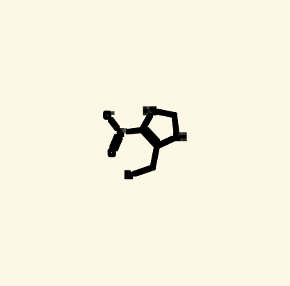 O=[N+]([O-])C1=C(CBr)NCN1